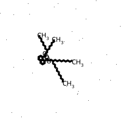 CCCCCCCCCCCCC(CCCCCCCCCC)COC(=O)c1cccc2cccc(C(=O)OCC(CCCCCC)CCCCCCCC)c12